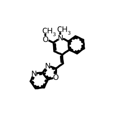 COC1=C/C(=C\c2nc3ncccc3o2)c2ccccc2N1C